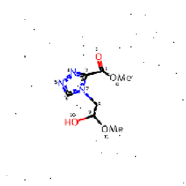 COC(=O)c1nn[c]n1CC(O)OC